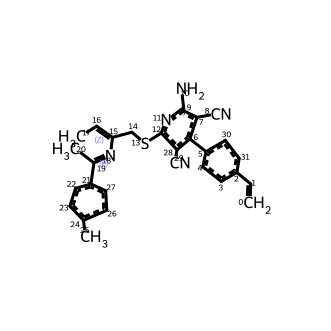 C=Cc1ccc(-c2c(C#N)c(N)nc(SCC(=C/C)/N=C(\C)c3ccc(C)cc3)c2C#N)cc1